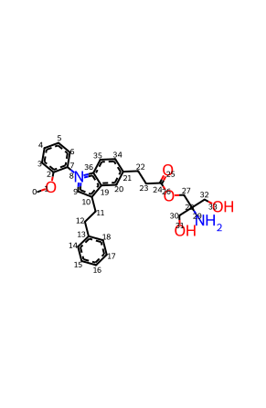 COc1ccccc1-n1cc(CCc2ccccc2)c2cc(CCC(=O)OCC(N)(CO)CO)ccc21